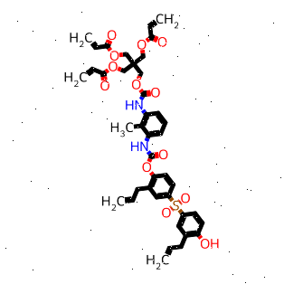 C=CCc1cc(S(=O)(=O)c2ccc(OC(=O)Nc3cccc(NC(=O)OCC(COC(=O)C=C)(COC(=O)C=C)COC(=O)C=C)c3C)c(CC=C)c2)ccc1O